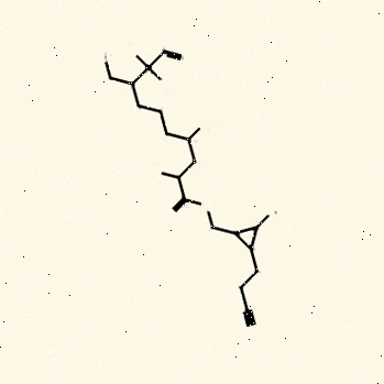 C#CCCC1C(CCC)C1COC(=O)C(C)CC(C)CCCC(CC(C)C)C(F)(F)C=C